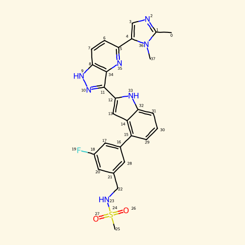 Cc1ncc(-c2ccc3[nH]nc(-c4cc5c(-c6cc(F)cc(CNS(C)(=O)=O)c6)cccc5[nH]4)c3n2)n1C